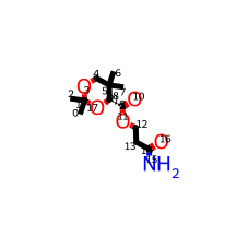 CC1(C)OCC(C)(C)[C@H](C(=O)OCCC(N)=O)O1